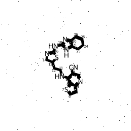 N#Cc1cnc2ccsc2c1NCCC1CN=C(Nc2nc3c([nH]2)CCC=C3)S1